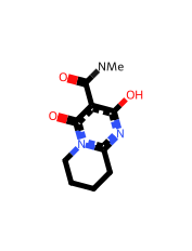 CNC(=O)c1c(O)nc2n(c1=O)CCCC2